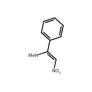 CN/C(=C\[N+](=O)[O-])c1ccccc1